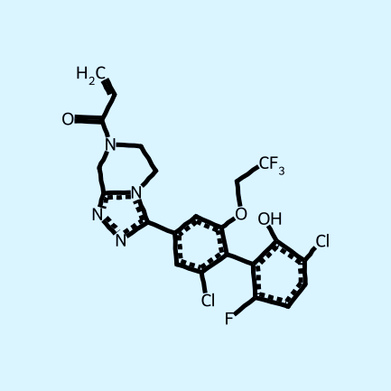 C=CC(=O)N1CCn2c(nnc2-c2cc(Cl)c(-c3c(F)ccc(Cl)c3O)c(OCC(F)(F)F)c2)C1